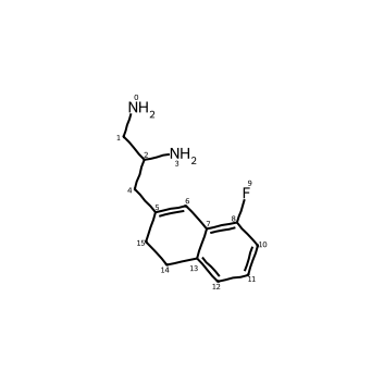 NCC(N)CC1=Cc2c(F)cccc2CC1